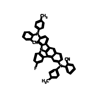 Cc1ccc(N(c2ccc3cc4c5ccc(N(c6ccc(C)cc6)c6ccccc6C#N)cc5n5c6ccc(F)cc6c(c3c2)c45)c2ccccc2C#N)cc1